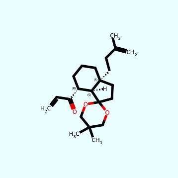 C=CC(=O)[C@@H]1CCC[C@@]2(CCC(=C)C)CCC3(OCC(C)(C)CO3)[C@@H]12